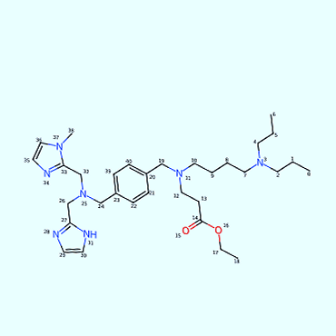 CCCN(CCC)CCCCN(CCC(=O)OCC)Cc1ccc(CN(Cc2ncc[nH]2)Cc2nccn2C)cc1